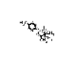 Cc1ccc(SSC(C)C(C)(C)C)nc1